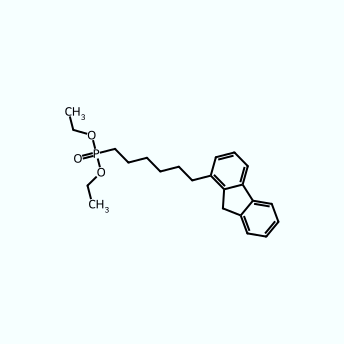 CCOP(=O)(CCCCCCc1cccc2c1Cc1ccccc1-2)OCC